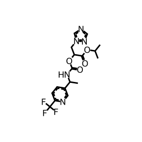 CC(C)OC(=O)C(Cn1cncn1)OC(=O)NC(C)c1ccc(C(F)(F)F)nc1